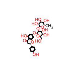 C[C@@H]1OC(OC2[C@H](Oc3cc(O)c4c(c3)O[C@H](c3ccc(O)cc3)CC4=O)OC(CO)[C@@H](O)[C@@H]2O)[C@H](O)C(O)[C@H]1O